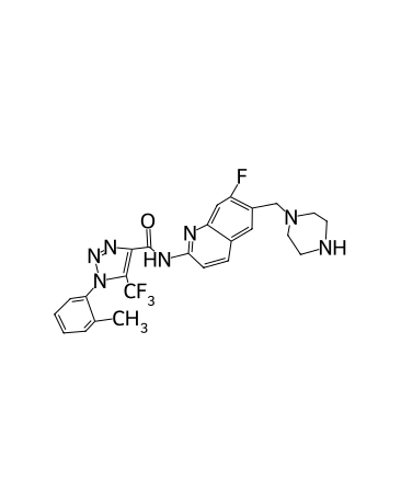 Cc1ccccc1-n1nnc(C(=O)Nc2ccc3cc(CN4CCNCC4)c(F)cc3n2)c1C(F)(F)F